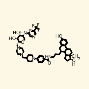 C[C@]12CCC3c4ccc(O)cc4CC(CCCNC(=O)c4ccc(N5CCC(CN6CCN(C[C@H]7OC[C@H](Nc8cncc(C(F)(F)F)n8)[C@@H](O)[C@H]7O)CC6)CC5)cc4)C3C1CC[C@@H]2O